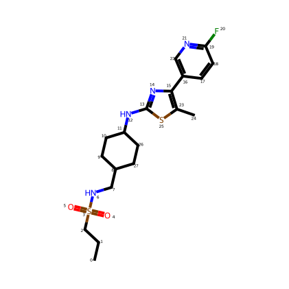 CCCS(=O)(=O)NCC1CCC(Nc2nc(-c3ccc(F)nc3)c(C)s2)CC1